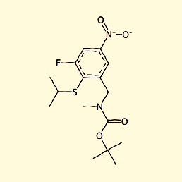 CC(C)Sc1c(F)cc([N+](=O)[O-])cc1CN(C)C(=O)OC(C)(C)C